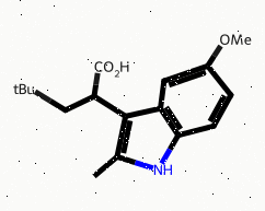 COc1ccc2[nH]c(C)c(C(CC(C)(C)C)C(=O)O)c2c1